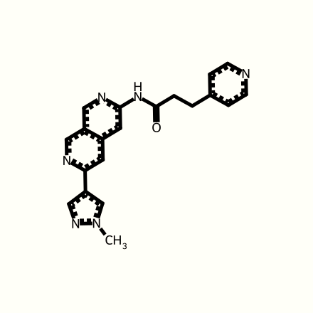 Cn1cc(-c2cc3cc(NC(=O)CCc4ccncc4)ncc3cn2)cn1